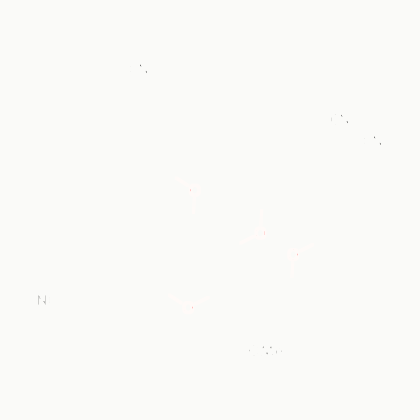 COC(COCCCC#N)C(OCCCC#N)C(COCCCC#N)OCCCC#N